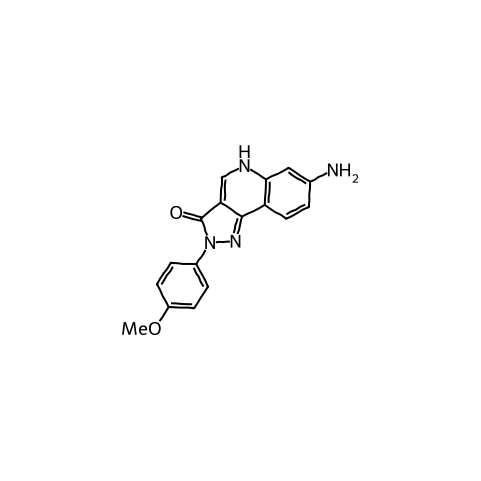 COc1ccc(-n2nc3c4ccc(N)cc4[nH]cc-3c2=O)cc1